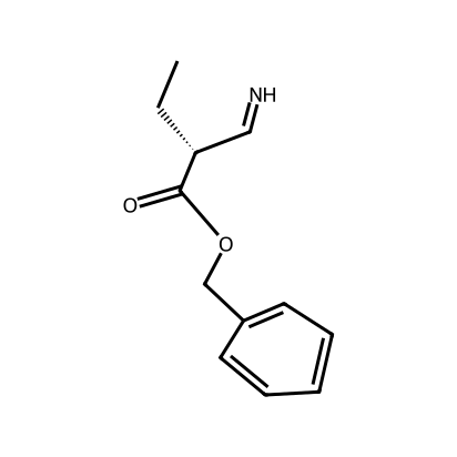 CC[C@H](C=N)C(=O)OCc1ccccc1